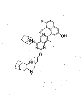 C#Cc1c(F)ccc2cc(O)cc(-c3ncc4c(N5CC6CCC(C5)N6)nc(OCCCCN(C)C5CC6CC7CC(C5NC)C76)nc4c3C)c12